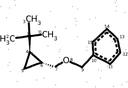 CC(C)(C)[C@@H]1C[C@H]1COCc1ccccc1